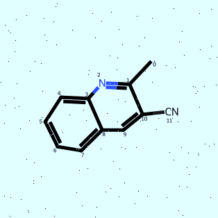 [CH2]c1nc2ccccc2cc1C#N